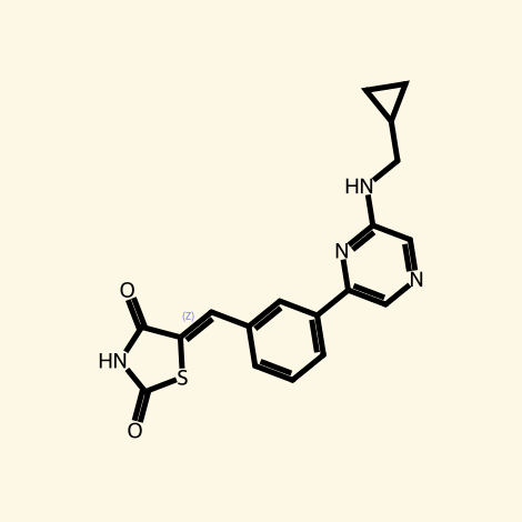 O=C1NC(=O)/C(=C/c2cccc(-c3cncc(NCC4CC4)n3)c2)S1